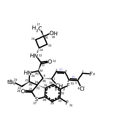 CC(/C=C\C=C(\Cl)CF)[C@H]1[C@H](C(=O)N[C@H]2C[C@@](C)(O)C2)N[C@H](CC(C)(C)C)[C@]12C(=O)Sc1cc(F)c(F)cc12